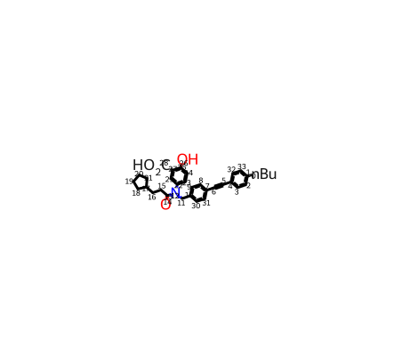 CCCCc1ccc(C#Cc2ccc(CN(C(=O)CCC3CCCC3)c3ccc(O)c(C(=O)O)c3)cc2)cc1